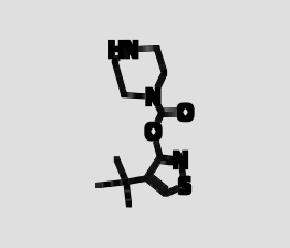 CC(C)(C)c1csnc1OC(=O)N1CCNCC1